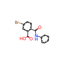 O=C(O)c1cc(Br)ccc1C(=O)Nc1ccccc1